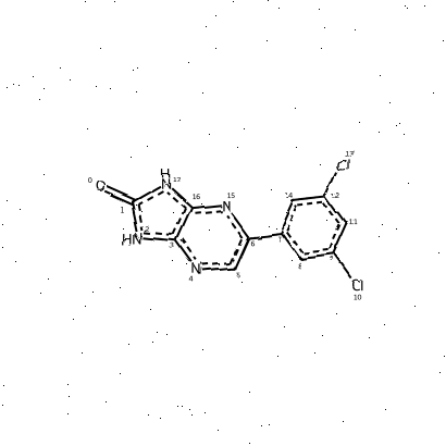 O=c1[nH]c2ncc(-c3cc(Cl)cc(Cl)c3)nc2[nH]1